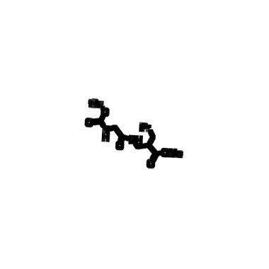 COC(=O)C(CNC(=O)CNC(=O)OC(C)(C)C)CC(C)C